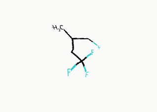 [CH2]C(CF)CC(F)(F)F